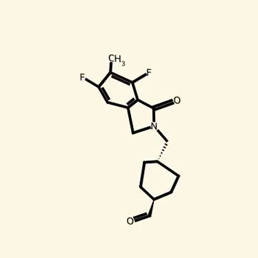 Cc1c(F)cc2c(c1F)C(=O)N(C[C@H]1CC[C@H](C=O)CC1)C2